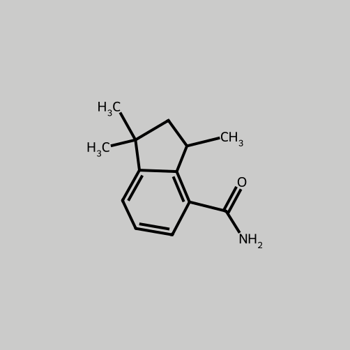 CC1CC(C)(C)c2cccc(C(N)=O)c21